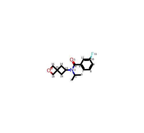 CC(C)N(C(=O)c1cccc(F)c1)C1CC2(COC2)C1